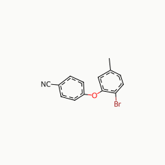 Cc1ccc(Br)c(Oc2ccc(C#N)cc2)c1